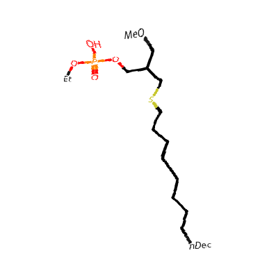 CCCCCCCCCCCCCCCCCCSCC(COC)COP(=O)(O)OCC